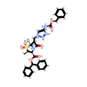 C[C@@H]1[C@H](C(=O)OC(c2ccccc2)c2ccccc2)N2C(=O)C(Cn3cc(NC(=O)OCc4ccccc4)nn3)[C@@H]2S1(=O)=O